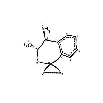 N[C@H]1c2ccccc2C2(CC2)C[C@@H]1O